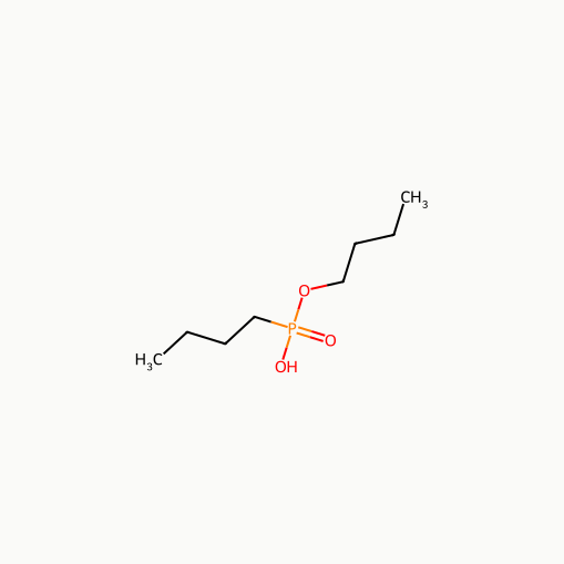 CCCCOP(=O)(O)CCCC